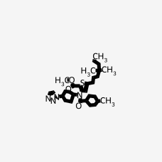 CCCC(C)(C)CCCc1cc(N(C(=O)C2CCC(C)CC2)C2CCC(n3ccnn3)CC2)c(C(=O)OC)s1